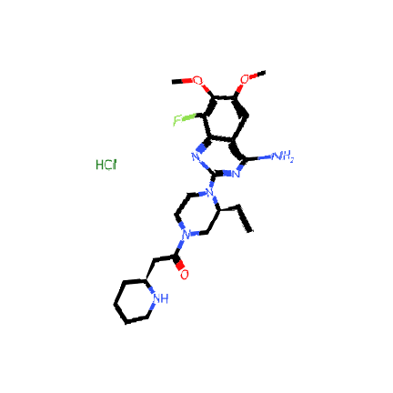 CC[C@H]1CN(C(=O)C[C@@H]2CCCCN2)CCN1c1nc(N)c2cc(OC)c(OC)c(F)c2n1.Cl